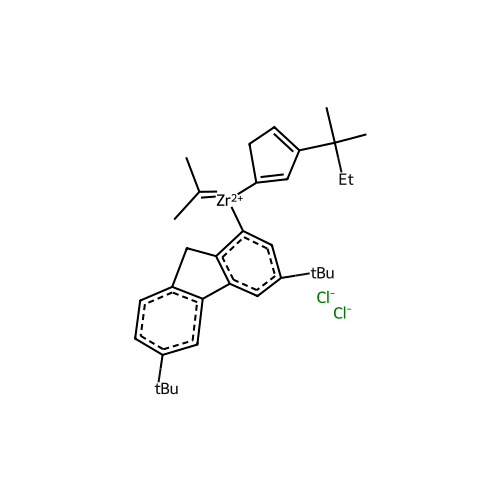 CCC(C)(C)C1=CC[C]([Zr+2](=[C](C)C)[c]2cc(C(C)(C)C)cc3c2Cc2ccc(C(C)(C)C)cc2-3)=C1.[Cl-].[Cl-]